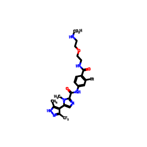 CCc1cc(NC(=O)c2ncc(-c3c(C(F)(F)F)n[nH]c3C)n2C)ccc1C(=O)NCCOCCNC(=O)O